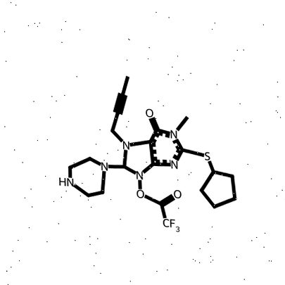 CC#CCN1c2c(nc(SC3CCCC3)n(C)c2=O)N(OC(=O)C(F)(F)F)C1N1CCNCC1